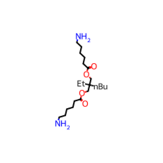 CCCCC(CC)(COC(=O)CCCCCN)COC(=O)CCCCCN